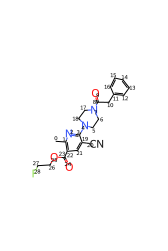 Cc1nc(N2CCN(C(=O)Cc3ccccc3)CC2)c(C#N)cc1C(=O)OCCF